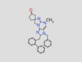 CN1C=C2C(=NC(Cc3ccccc3-c3ccccc3)N2Cc2ccccc2)N2CC3(CCC(=O)C3)N=C12